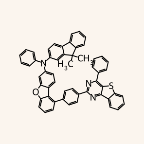 CC1(C)c2ccccc2-c2ccc(N(c3ccccc3)c3ccc4c(c3)oc3cccc(-c5ccc(-c6nc(-c7ccccc7)c7sc8ccccc8c7n6)cc5)c34)cc21